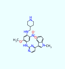 COc1cc(NCC2CCNCC2)c([N+](=O)[O-])cc1Nc1nccc(-c2cn(C)c3ccccc23)n1